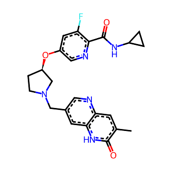 Cc1cc2ncc(CN3CC[C@@H](Oc4cnc(C(=O)NC5CC5)c(F)c4)C3)cc2[nH]c1=O